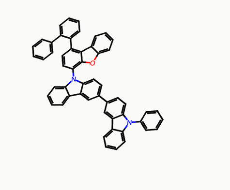 c1ccc(-c2ccccc2-c2ccc(-n3c4ccccc4c4cc(-c5ccc6c(c5)c5ccccc5n6-c5ccccc5)ccc43)c3oc4ccccc4c23)cc1